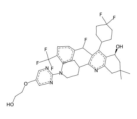 CC1(C)Cc2nc(C3CCN(c4ncc(OCCO)cn4)CC3)c(C(F)c3ccc(C(F)(F)F)cc3)c(C3CCC(F)(F)CC3)c2[C@@H](O)C1